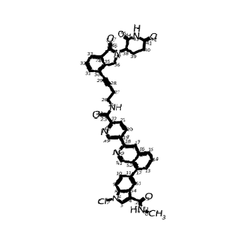 CNC(=O)c1cn(Cl)c2ccc(-c3cccc4cc(-c5ccc(C(=O)NCCC#Cc6cccc7c6CN(C6CCC(=O)NC6=O)C7=O)nc5)ncc34)cc12